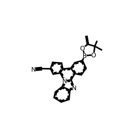 C=C1OB(c2ccc3c(c2)c2ccc(C#N)cc2n2c4ccccc4nc32)OC1(C)C